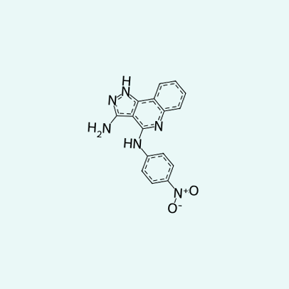 Nc1n[nH]c2c1c(Nc1ccc([N+](=O)[O-])cc1)nc1ccccc12